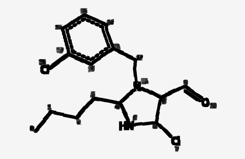 CCCCC1NC(Cl)C(C=O)N1Cc1cccc(Cl)c1